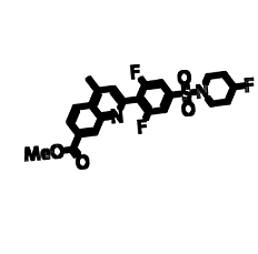 COC(=O)c1ccc2c(C)cc(-c3c(F)cc(S(=O)(=O)N4CCC(F)CC4)cc3F)nc2c1